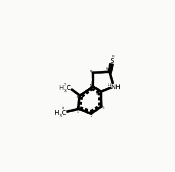 Cc1ccc2c(c1C)CC(=S)N2